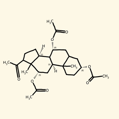 CC(=O)O[C@@H]1CCC2(C)C(C1)C[C@@H](OC(C)=O)C1[C@@H]2C[C@H](OC(C)=O)C2(C)C(C(C)=O)CC[C@@H]12